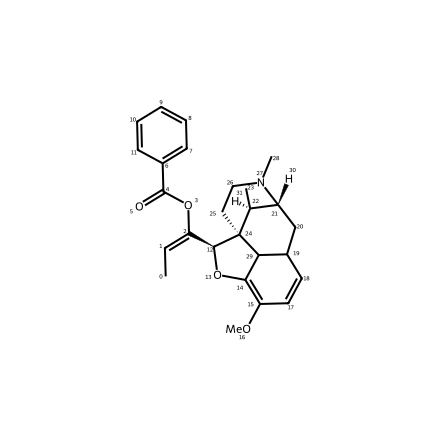 C/C=C(/OC(=O)c1ccccc1)[C@@H]1OC2=C(OC)C=CC3C[C@@H]4[C@H](C)[C@@]1(CCN4C)C23